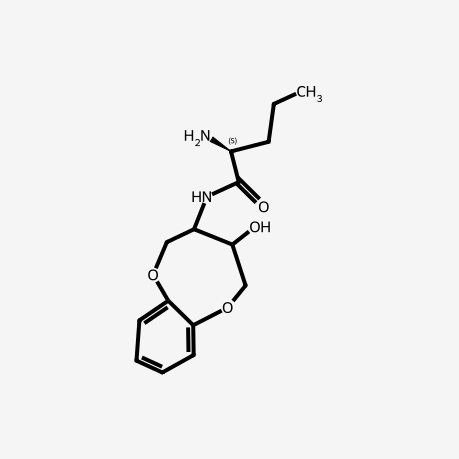 CCC[C@H](N)C(=O)NC1COc2ccccc2OCC1O